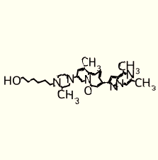 CC1=CC(N2CCN(CCCCCCO)[C@H](C)C2)=CN2C(=O)\C=C(c3cc4c(C)nc(C)cn4n3)/C=C/C=C\12